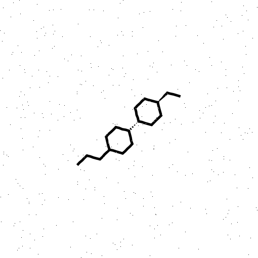 CCCC1CCC([C@H]2CC[C@H](CC)CC2)CC1